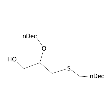 CCCCCCCCCCCSCC(CO)OCCCCCCCCCC